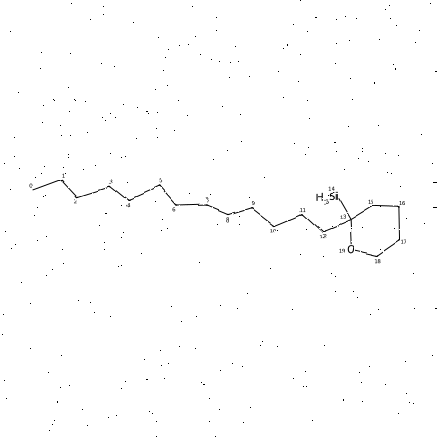 CCCCCCCCCCCCCC1([SiH3])CCCCO1